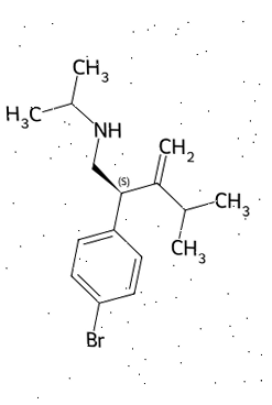 C=C(C(C)C)[C@H](CNC(C)C)c1ccc(Br)cc1